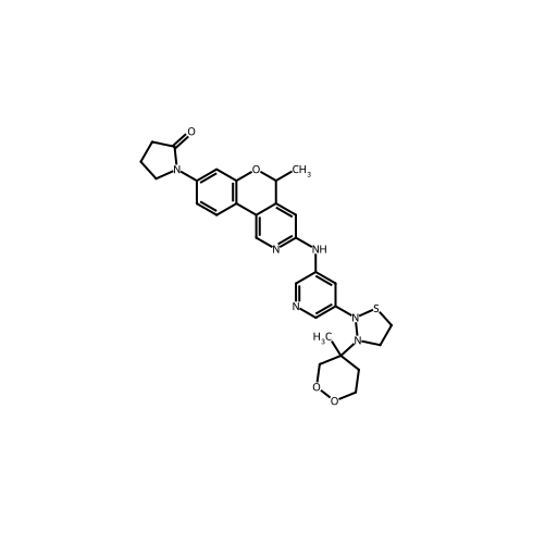 CC1Oc2cc(N3CCCC3=O)ccc2-c2cnc(Nc3cncc(N4SCCN4C4(C)CCOOC4)c3)cc21